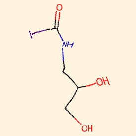 O=C(I)NCC(O)CO